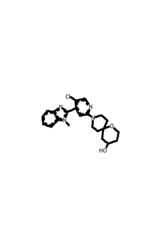 Cn1c(-c2cc(N3CCC4(CC3)CC(O)CCO4)ncc2Cl)nc2ccccc21